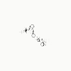 Nc1ncccc1-c1cc(Cc2ccc(OCc3cccc[n+]3COP(=O)(O)O)cc2)no1